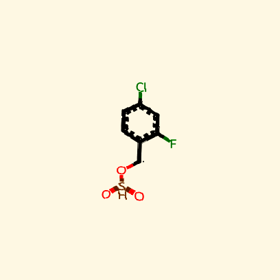 O=[SH](=O)O[CH]c1ccc(Cl)cc1F